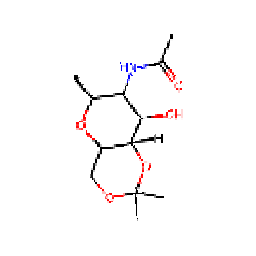 CC(=O)NC1[C@H](C)OC2COC(C)(C)O[C@H]2[C@@H]1O